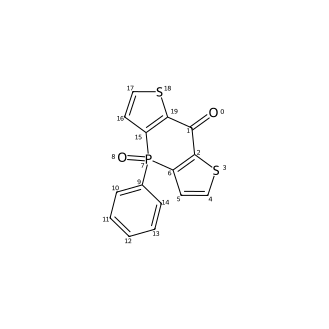 O=C1c2sccc2P(=O)(c2ccccc2)c2ccsc21